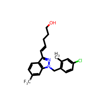 Cc1cc(Cl)ccc1Cn1nc(C=CCCCO)c2ccc(C(F)(F)F)cc21